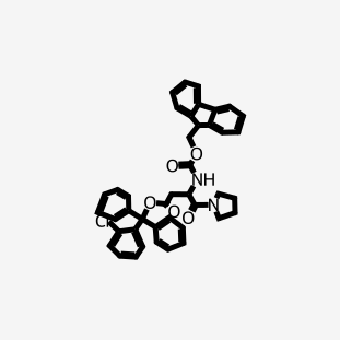 O=C(CC(NC(=O)OCC1c2ccccc2-c2ccccc21)C(=O)N1CCCC1)OC(c1ccccc1)(c1ccccc1)c1ccccc1Cl